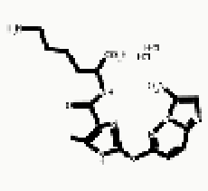 Cc1[nH]c(Sc2ccc3ncc([N+](=O)[O-])n3n2)nc1C(=O)NC(CCCCN)C(=O)O.Cl.Cl